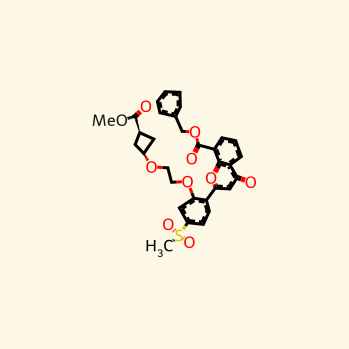 COC(=O)[C@H]1C[C@@H](OCCOc2cc(S(C)(=O)=O)ccc2-c2cc(=O)c3cccc(C(=O)OCc4ccccc4)c3o2)C1